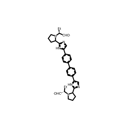 CC[C@@H]([C]=O)N1CCCC1c1ncc(-c2ccc(-c3ccc(-c4cnc(C5CCCN5[C@H]([C]=O)CC)[nH]4)cc3)cc2)[nH]1